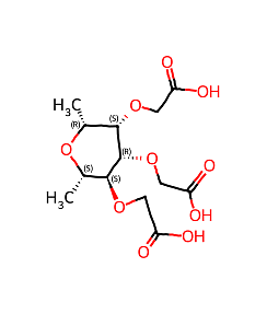 C[C@@H]1O[C@H](C)[C@H](OCC(=O)O)[C@H](OCC(=O)O)[C@H]1OCC(=O)O